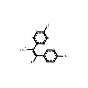 CCC(=C(C(=O)O)c1ccc(O)cc1)c1ccc(Cl)cc1